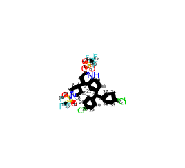 O=S(=O)(OC1C=C(C2=CCN(S(=O)(=O)C(F)(F)F)CC2)c2cc(C(c3ccc(Cl)cc3)c3ccc(Cl)cc3)ccc2N1)C(F)(F)F